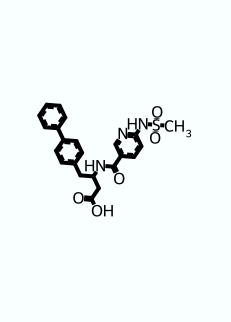 CS(=O)(=O)Nc1ccc(C(=O)NC(CC(=O)O)Cc2ccc(-c3ccccc3)cc2)cn1